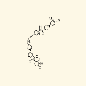 N#Cc1ccc(N2CCC(C(=O)Nc3ccc(C#CCN4CC5(CCN(c6ccc7c(c6)C(=O)N(C6CCC(=O)NC6=O)C7=O)CC5)C4)cn3)CC2)cc1C(F)(F)F